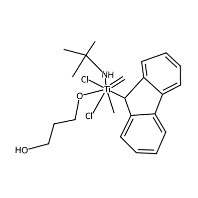 [CH2]=[Ti]([CH3])([Cl])([Cl])([NH]C(C)(C)C)([O]CCCO)[CH]1c2ccccc2-c2ccccc21